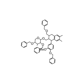 COc1cc(C2c3cc(C)c(C)cc3CC(COCc3ccccc3)C2COC2OCC(OCc3ccccc3)C(C)C2OCc2ccccc2)ccc1OCc1ccccc1